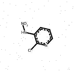 O=[N+]([O-])Nc1cccnc1Cl